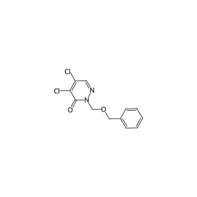 O=c1c(Cl)c(Cl)cnn1COCc1ccccc1